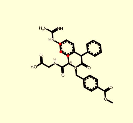 COC(=O)c1ccc(CN(C(=O)C(c2ccccc2)c2ccccc2)[C@H](CCCNC(=N)N)C(=O)NCC(=O)O)cc1